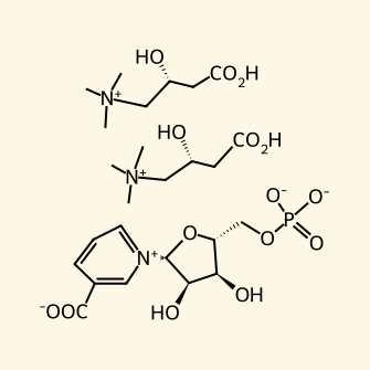 C[N+](C)(C)C[C@H](O)CC(=O)O.C[N+](C)(C)C[C@H](O)CC(=O)O.O=C([O-])c1ccc[n+]([C@@H]2O[C@H](COP(=O)([O-])[O-])[C@@H](O)[C@H]2O)c1